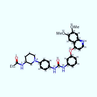 CCC(=O)NC1CCCN(c2ccc(NC(=O)Nc3cccc(Oc4ccnc5cc(OC)c(OC)cc45)c3)cc2)C1